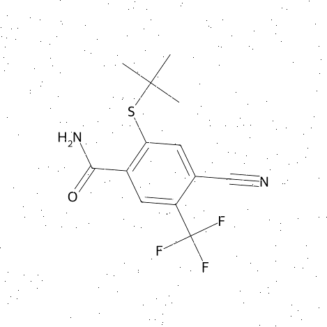 CC(C)(C)Sc1cc(C#N)c(C(F)(F)F)cc1C(N)=O